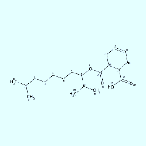 CC(C)CCCCCC(OC(=O)C1CC=CCC1C(=O)O)C(C)C